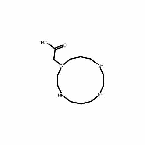 NC(=O)CN1CCCNCCNCCCNCC1